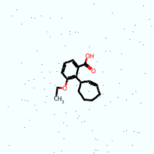 CCOc1cccc(C(=O)O)c1C1C=CCCCC1